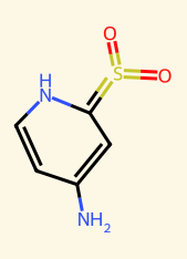 Nc1cc[nH]c(=S(=O)=O)c1